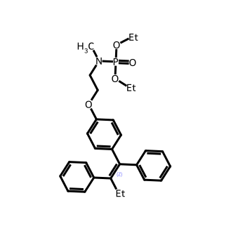 CCOP(=O)(OCC)N(C)CCOc1ccc(/C(=C(/CC)c2ccccc2)c2ccccc2)cc1